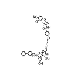 CC(C)(C)C(NC(=O)COCCCCOc1ccc(C(=O)N[C@H]2C(C)(C)[C@H](Oc3ccc(C#N)c(Cl)c3)C2(C)C)cc1)C(=O)N1C[C@H](O)CC1C(=O)NCc1ccc(-c2ccccc2)cc1